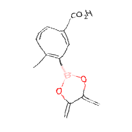 C=C1OB(c2cc(C(=O)O)ccc2C)OC1=C